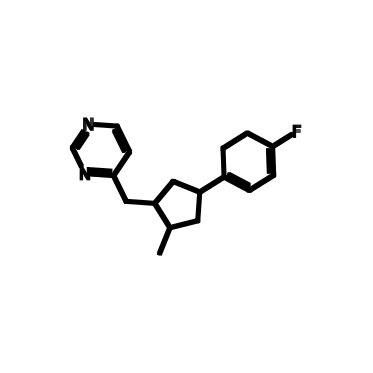 CC1CC(C2=CC=C(F)CC2)CC1Cc1ccncn1